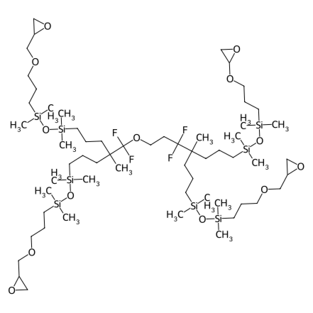 CC(CCC[Si](C)(C)O[Si](C)(C)CCCOCC1CO1)(CCC[Si](C)(C)O[Si](C)(C)CCCOC1CO1)C(F)(F)CCOC(F)(F)C(C)(CCC[Si](C)(C)O[Si](C)(C)CCCOCC1CO1)CCC[Si](C)(C)O[Si](C)(C)CCCOCC1CO1